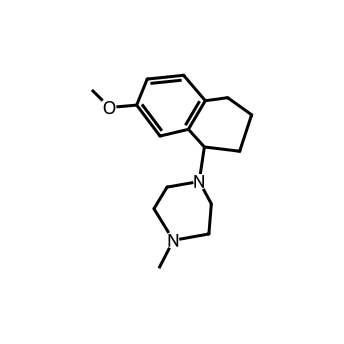 COc1ccc2c(c1)C(N1CCN(C)CC1)CCC2